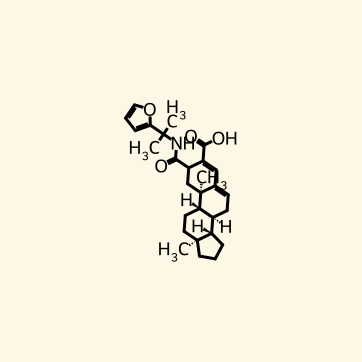 CC(C)(NC(=O)C1C[C@@]2(C)C(=CC[C@H]3[C@@H]4CCC[C@@]4(C)CC[C@@H]32)C=C1C(=O)O)c1ccco1